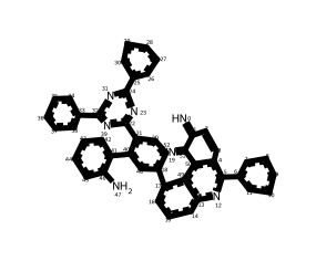 N=C1C=Cc2c(-c3ccccc3)nc3cccc(-c4ccc(-c5nc(-c6ccccc6)nc(-c6ccccc6)n5)c(-c5ccccc5N)c4)c3c2C1=N